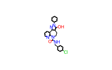 O=C(NCc1ccc(Cl)cc1)N1CCc2c(nn(-c3ccccc3)c2O)-c2cccnc21